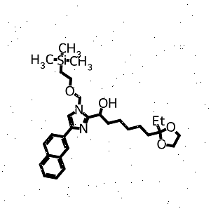 CCC1(CCCCCC(O)c2nc(-c3ccc4ccccc4c3)cn2COCC[Si](C)(C)C)OCCO1